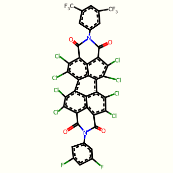 O=C1c2c(Cl)c(Cl)c3c4c(Cl)c(Cl)c5c6c(c(Cl)c(Cl)c(c7c(Cl)c(Cl)c(c2c37)C(=O)N1c1cc(F)cc(F)c1)c64)C(=O)N(c1cc(C(F)(F)F)cc(C(F)(F)F)c1)C5=O